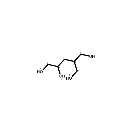 OC[C](CO)CC(O)CO